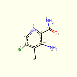 Cc1c(Br)cnc(C(N)=O)c1N